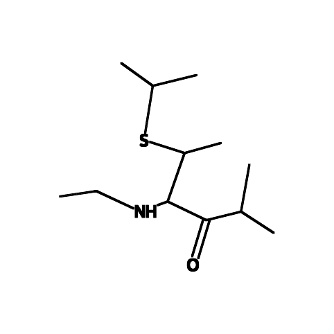 CCNC(C(=O)C(C)C)C(C)SC(C)C